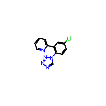 Clc1ccc(-n2cnnn2)c(-c2ccccn2)c1